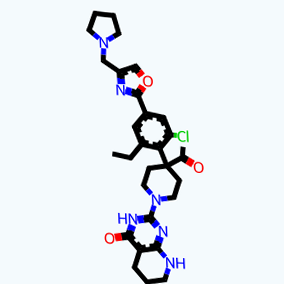 CCc1cc(-c2nc(CN3CCCC3)co2)cc(Cl)c1C1(C(C)=O)CCN(c2nc3c(c(=O)[nH]2)CCCN3)CC1